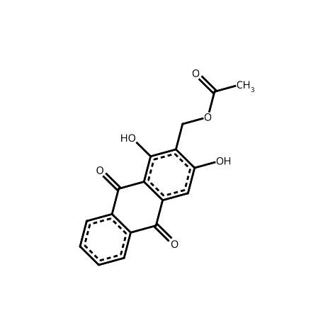 CC(=O)OCc1c(O)cc2c(c1O)C(=O)c1ccccc1C2=O